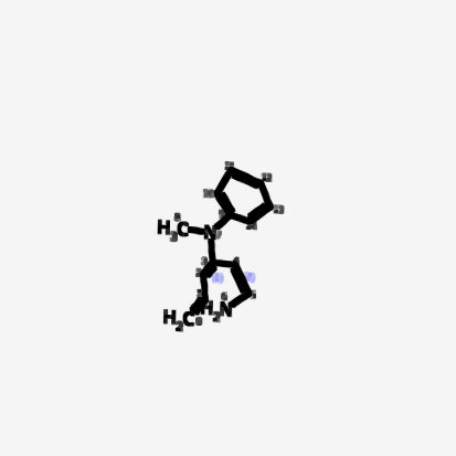 C=C/C=C(\C=C/N)N(C)c1ccccc1